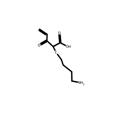 C=CC(=O)C(CCCCCN)C(=O)O